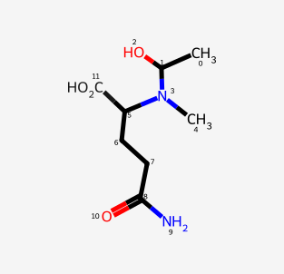 CC(O)N(C)C(CCC(N)=O)C(=O)O